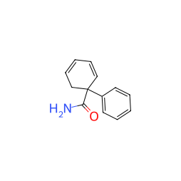 NC(=O)C1(c2ccccc2)C=CC=CC1